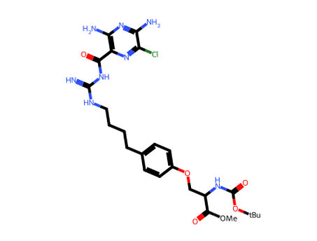 COC(=O)C(COc1ccc(CCCCNC(=N)NC(=O)c2nc(Cl)c(N)nc2N)cc1)NC(=O)OC(C)(C)C